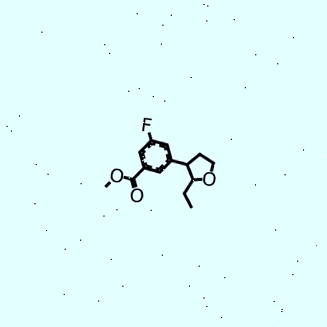 CCC1OCCC1c1cc(F)cc(C(=O)OC)c1